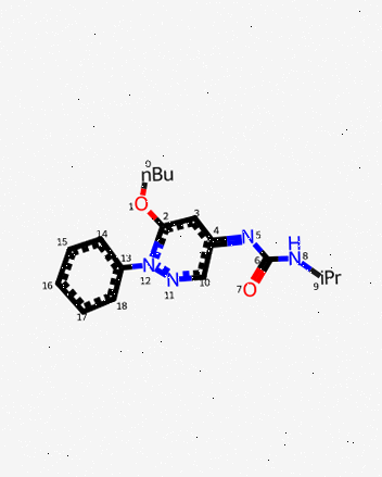 CCCCOc1c/c(=N/C(=O)NC(C)C)cnn1-c1ccccc1